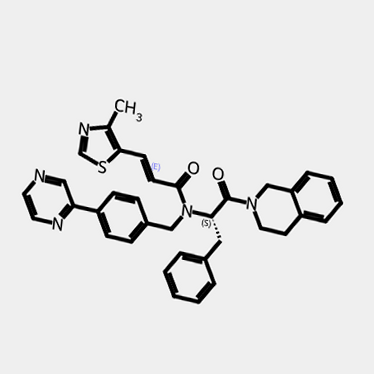 Cc1ncsc1/C=C/C(=O)N(Cc1ccc(-c2cnccn2)cc1)[C@@H](Cc1ccccc1)C(=O)N1CCc2ccccc2C1